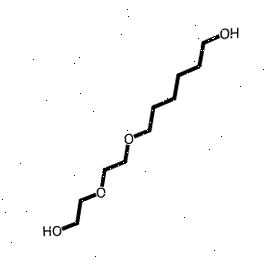 OCCCCCCOCCOCCO